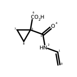 C=CNC(=O)C1(C(=O)O)CC1